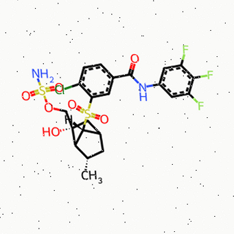 C[C@H]1CC2C[C@](O)(COS(N)(=O)=O)C1[C@@H]2S(=O)(=O)c1cc(C(=O)Nc2cc(F)c(F)c(F)c2)ccc1Cl